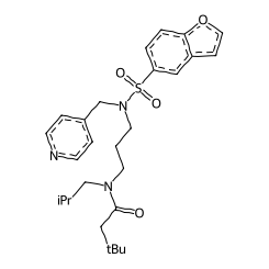 CC(C)CN(CCCN(Cc1ccncc1)S(=O)(=O)c1ccc2occc2c1)C(=O)CC(C)(C)C